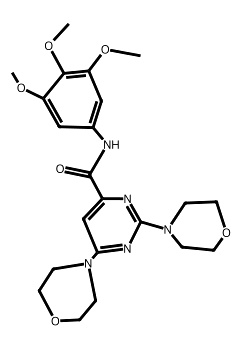 COc1cc(NC(=O)c2cc(N3CCOCC3)nc(N3CCOCC3)n2)cc(OC)c1OC